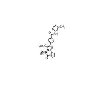 CNn1c(C2CCCN2C(=O)OC(C)(C)C)nc(-c2ccc(C(=O)Nc3cc(C)ccn3)cc2)c1C(=O)O